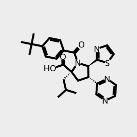 CC(C)C[C@@]1(C(=O)O)C[C@@H](c2cnccn2)[C@H](c2nccs2)N1C(=O)c1ccc(C(C)(C)C)cc1